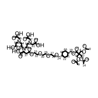 CC(=O)OCC(COC(C)=O)(COC(C)=O)C(=O)OC[C@H]1CC[C@H](COCCOCCOCCOC(=O)CC(C(=O)O)N(CCN(CC(=O)O)CC(=O)O)CCN(CC(=O)O)CC(=O)O)CC1